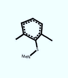 CNSc1c(C)cccc1C